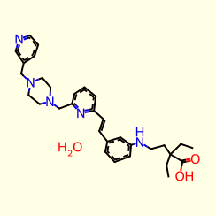 CCC(CC)(CCNc1cccc(C=Cc2cccc(CN3CCN(Cc4cccnc4)CC3)n2)c1)C(=O)O.O